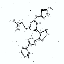 Cc1cc(Nc2cc(NC[C@H](C)O)nc(N3CCCC3c3cc(-c4ccccn4)no3)n2)n[nH]1